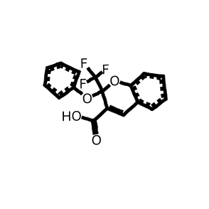 O=C(O)C1=Cc2ccccc2OC1(Oc1ccccc1)C(F)(F)F